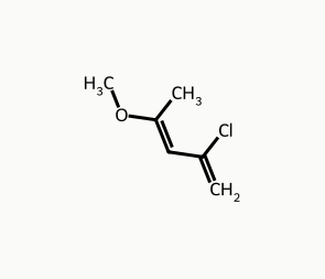 C=C(Cl)/C=C(\C)OC